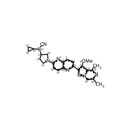 COc1c(-c2ccc3nc(N4CCC(B(C#N)C5CC5)C4)ccc3n2)nn2cc(C)nc(C)c12